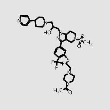 CC(=O)N1CCN(CCSc2cc(-c3nn(CC(O)CN4CCC(c5ccncc5)CC4)c4c3CN(S(C)(=O)=O)CC4)ccc2C(F)(F)F)CC1